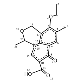 CCOc1c(F)cc2c(=O)c(C(=O)O)cn3c2c1COC3C